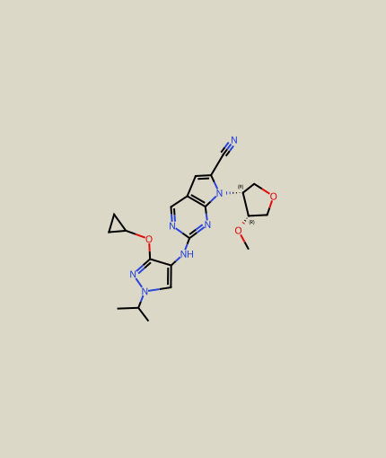 CO[C@H]1COC[C@H]1n1c(C#N)cc2cnc(Nc3cn(C(C)C)nc3OC3CC3)nc21